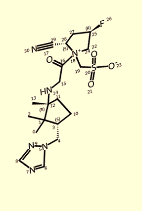 CC1(C)[C@@H](Cn2cncn2)CC[C@@]1(C)NCC(=O)[N+]1(CS(=O)(=O)[O-])C[C@H](F)C[C@H]1C#N